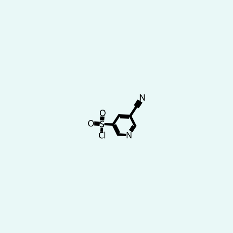 N#Cc1cncc(S(=O)(=O)Cl)c1